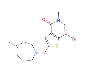 CN1CCCN(Cc2cc3c(=O)n(C)cc(Br)c3s2)CC1